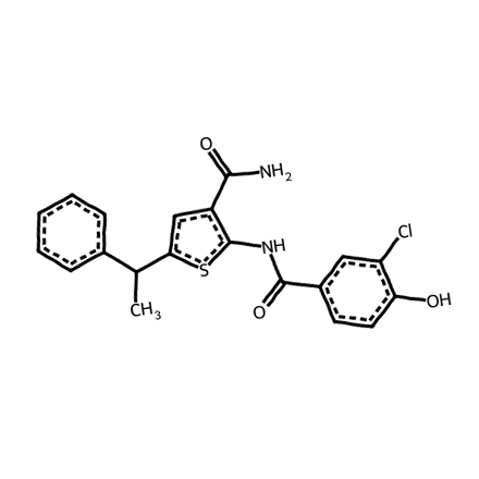 CC(c1ccccc1)c1cc(C(N)=O)c(NC(=O)c2ccc(O)c(Cl)c2)s1